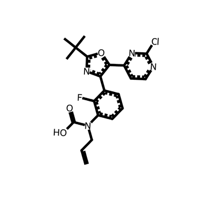 C=CCN(C(=O)O)c1cccc(-c2nc(C(C)(C)C)oc2-c2ccnc(Cl)n2)c1F